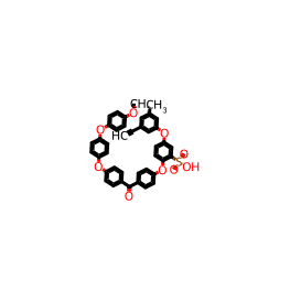 C#Cc1cc(C)cc(Oc2ccc(Oc3ccc(C(=O)c4ccc(Oc5ccc(Oc6ccc(OC)cc6)cc5)cc4)cc3)c(S(=O)(=O)O)c2)c1